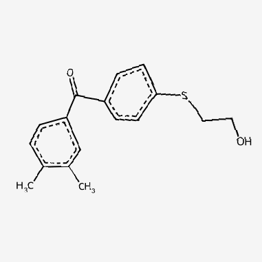 Cc1ccc(C(=O)c2ccc(SCCO)cc2)cc1C